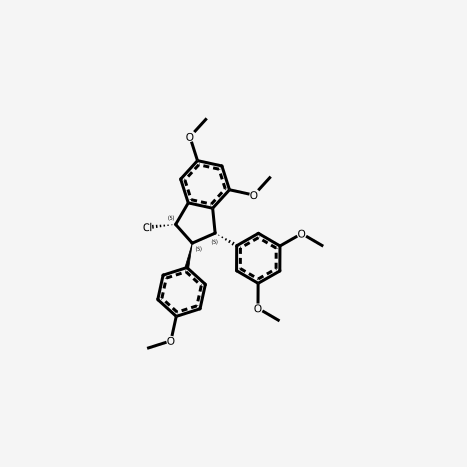 COc1ccc([C@@H]2[C@@H](c3cc(OC)cc(OC)c3)c3c(OC)cc(OC)cc3[C@H]2Cl)cc1